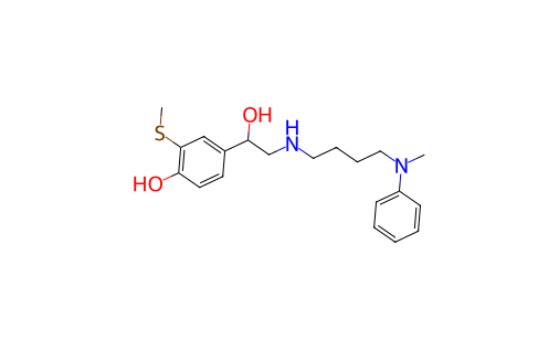 CSc1cc(C(O)CNCCCCN(C)c2ccccc2)ccc1O